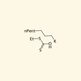 CCCCCCC[CH2][K].CCSC(O)=S